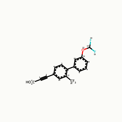 O=C(O)C#Cc1ccc(-c2cccc(OC(F)F)c2)c(C(F)(F)F)c1